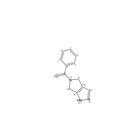 O=C(c1ccccc1)N1Cc2[c]n[nH]c2C1